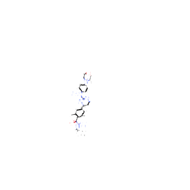 Cc1cc(-c2ccnc(Nc3ccc(N4CCOCC4)cc3)n2)ccc1C(=O)NCC#N